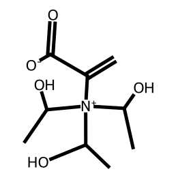 C=C(C(=O)[O-])[N+](C(C)O)(C(C)O)C(C)O